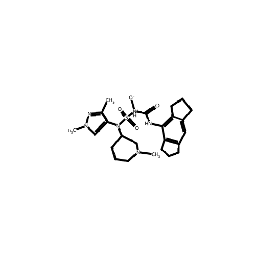 Cc1nn(C)cc1N(C1CCCN(C)C1)S(=O)(=O)[NH+]([O-])C(=O)Nc1c2c(cc3c1CCC3)CCC2